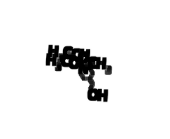 C[C@H]1CC(=CCO)CCN1C(=O)OC(C)(C)C